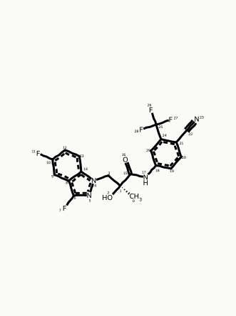 C[C@](O)(Cn1nc(F)c2cc(F)ccc21)C(=O)Nc1ccc(C#N)c(C(F)(F)F)c1